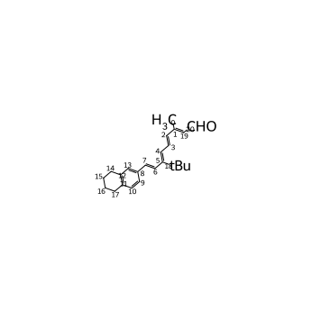 CC(C=CC=C(C=Cc1ccc2c(c1)CCCC2)C(C)(C)C)=CC=O